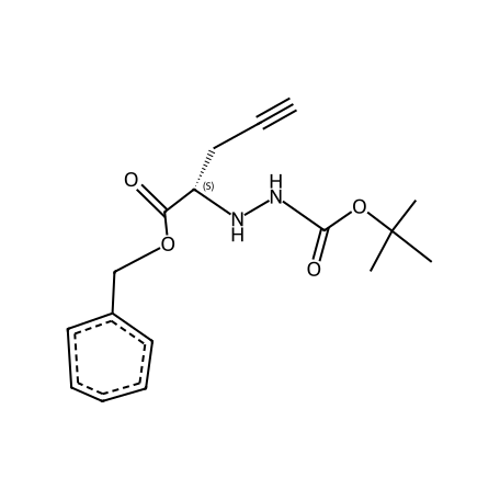 C#CC[C@H](NNC(=O)OC(C)(C)C)C(=O)OCc1ccccc1